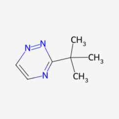 CC(C)(C)c1nccnn1